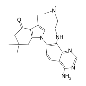 Cc1cn(-c2ccc3c(N)ncnc3c2NCCN(C)C)c2c1C(=O)CC(C)(C)C2